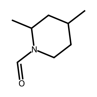 CC1CCN(C=O)C(C)C1